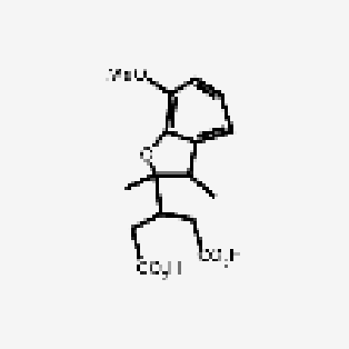 COc1cccc2c1OC(C)(C(CC(=O)O)CC(=O)O)C2C